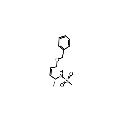 C[C@H](/C=C\COCc1ccccc1)NS(C)(=O)=O